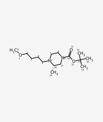 COCCCCN1CCN(C(=O)OC(C)(C)C)C[C@@H]1C